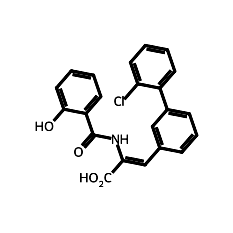 O=C(O)C(=Cc1cccc(-c2ccccc2Cl)c1)NC(=O)c1ccccc1O